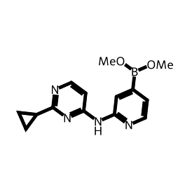 COB(OC)c1ccnc(Nc2ccnc(C3CC3)n2)c1